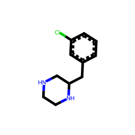 Clc1cccc(CC2CNCCN2)c1